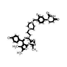 Cc1sc2c(c1C)C(c1ccc(Cl)cc1)=N[C@@H](CCN1CCN(Cc3ccc(N4CCC(=O)NC4=O)cc3F)CC1)c1nnc(C)n1-2